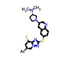 CC(=O)c1cc(F)c2nc(Sc3ccc4ncc(N5CC[C@H](N(C)C)C5)cc4c3)nn2c1